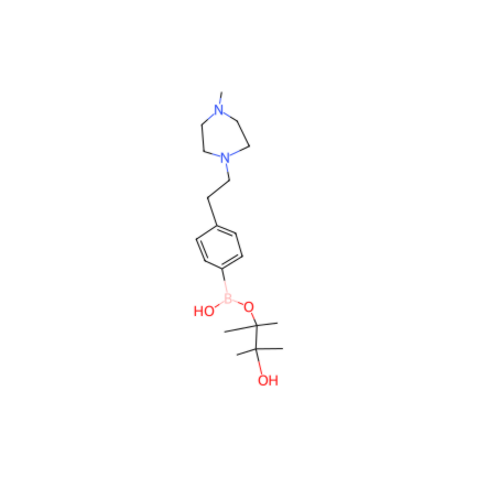 CN1CCN(CCc2ccc(B(O)OC(C)(C)C(C)(C)O)cc2)CC1